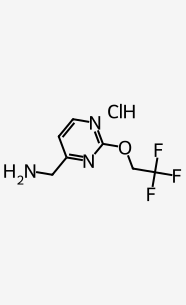 Cl.NCc1ccnc(OCC(F)(F)F)n1